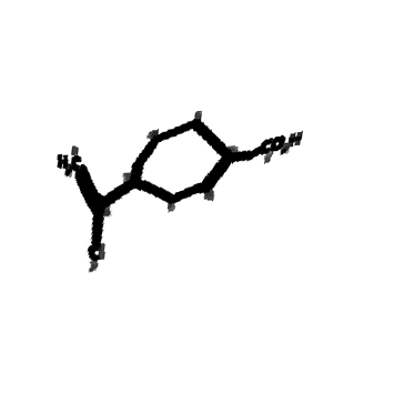 C=C(Cl)C1CCC(C(=O)O)CC1